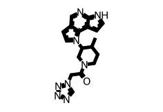 CC1CCN(C(=O)Cn2cnnn2)CC1n1ccc2cnc3[nH]ccc3c21